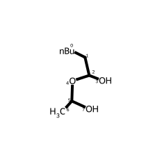 CCCCCC(O)OC(C)O